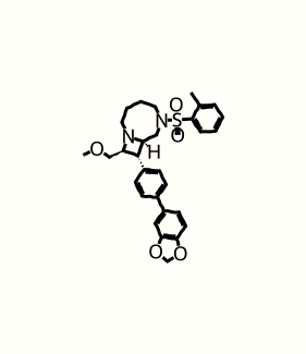 COC[C@@H]1[C@@H](c2ccc(-c3ccc4c(c3)OCO4)cc2)[C@@H]2CN(S(=O)(=O)c3ccccc3C)CCCCN12